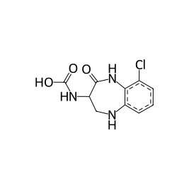 O=C(O)NC1CNc2cccc(Cl)c2NC1=O